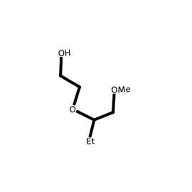 CCC(COC)OCCO